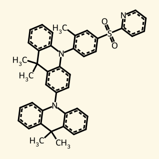 Cc1cc(S(=O)(=O)c2ccccn2)ccc1N1c2ccccc2C(C)(C)c2cc(N3c4ccccc4C(C)(C)c4ccccc43)ccc21